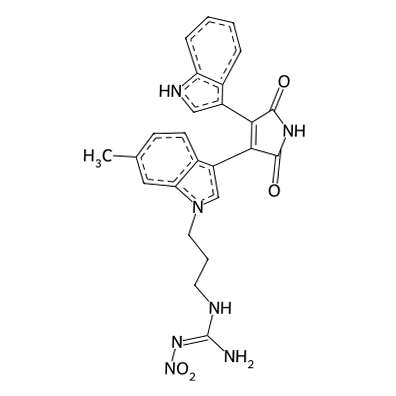 Cc1ccc2c(C3=C(c4c[nH]c5ccccc45)C(=O)NC3=O)cn(CCCNC(N)=N[N+](=O)[O-])c2c1